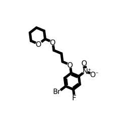 O=[N+]([O-])c1cc(F)c(Br)cc1OCCCOC1CCCCO1